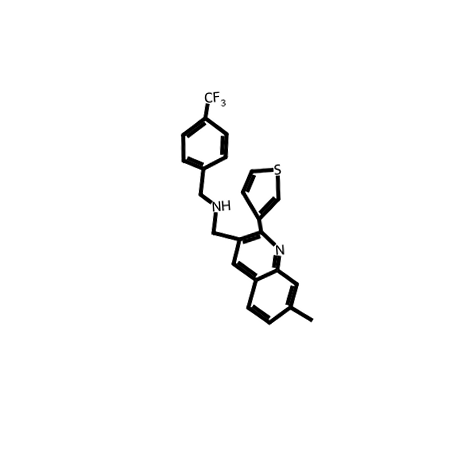 Cc1ccc2cc(CNCc3ccc(C(F)(F)F)cc3)c(-c3ccsc3)nc2c1